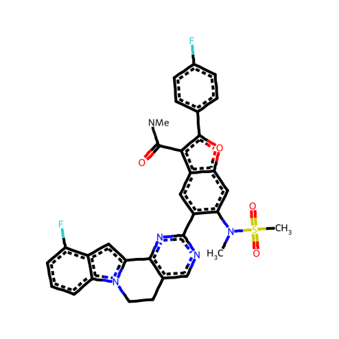 CNC(=O)c1c(-c2ccc(F)cc2)oc2cc(N(C)S(C)(=O)=O)c(-c3ncc4c(n3)-c3cc5c(F)cccc5n3CC4)cc12